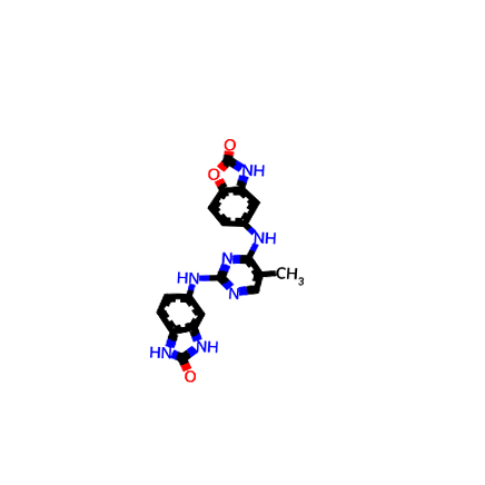 Cc1cnc(Nc2ccc3[nH]c(=O)[nH]c3c2)nc1Nc1ccc2oc(=O)[nH]c2c1